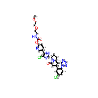 CCOCCOCCNC(=O)Oc1ccc(-c2[nH]c([C@@H]3CCc4cc(-c5cc(Cl)ccc5-n5cnnn5)cc(=O)n43)nc2Cl)cn1